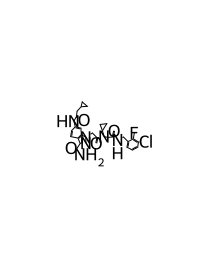 NC(=O)c1nn(CC(=O)N(CC(=O)NCc2cccc(Cl)c2F)C2CC2)c2cc(NC(=O)CC3CC3)ccc12